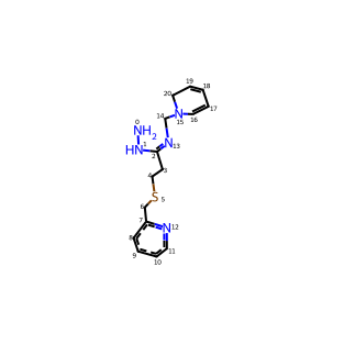 NNC(CCSCc1ccccn1)=NCN1C=CC=CC1